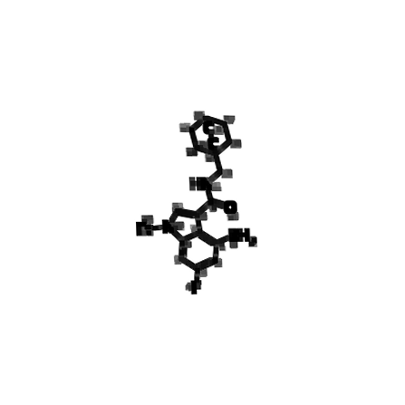 Bc1cc(F)cc2c1c(C(=O)NCC13CCC(CC1)CC3)cn2CC